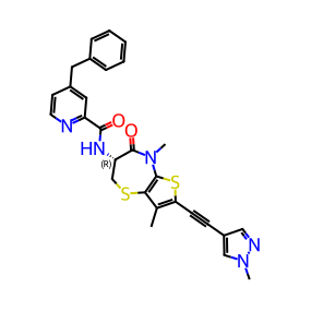 Cc1c(C#Cc2cnn(C)c2)sc2c1SC[C@H](NC(=O)c1cc(Cc3ccccc3)ccn1)C(=O)N2C